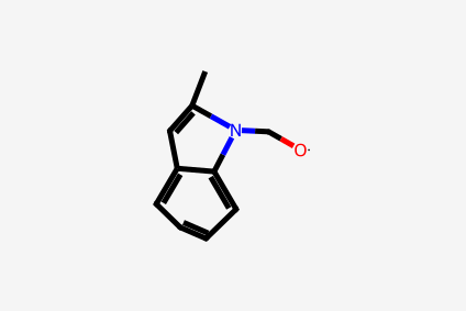 Cc1cc2ccccc2n1C[O]